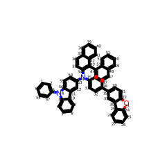 c1ccc(-n2c3ccccc3c3cc(N(c4ccc(-c5ccc6oc7ccccc7c6c5)cc4)c4ccc5ccccc5c4-c4cccc5ccccc45)ccc32)cc1